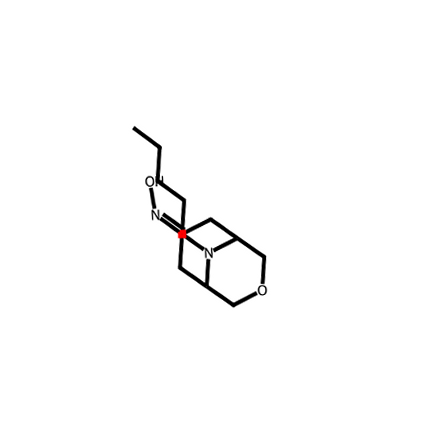 CCCCCN1C2COCC1CC(=NO)C2